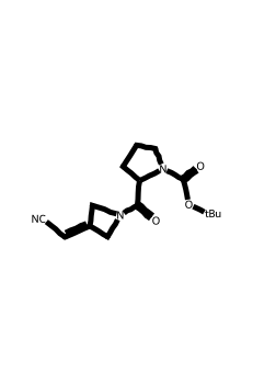 CC(C)(C)OC(=O)N1CCCC1C(=O)N1CC(=CC#N)C1